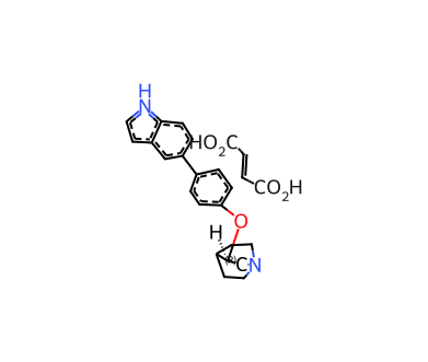 O=C(O)C=CC(=O)O.c1cc2cc(-c3ccc(O[C@H]4CN5CCC4CC5)cc3)ccc2[nH]1